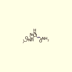 CC(C)CC(=O)Nc1cnc2[nH]cc(/C=C/C(N)=O)c2c1